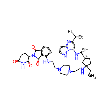 CCC(CC)c1cc(NC([SiH3])[C@H]2CC[C@](C[SiH3])(NCCN3CCN(CCNc4cccc5c4C(=O)N(C4CCC(=O)NC4=O)C5=O)CC3)C2)n2nccc2n1